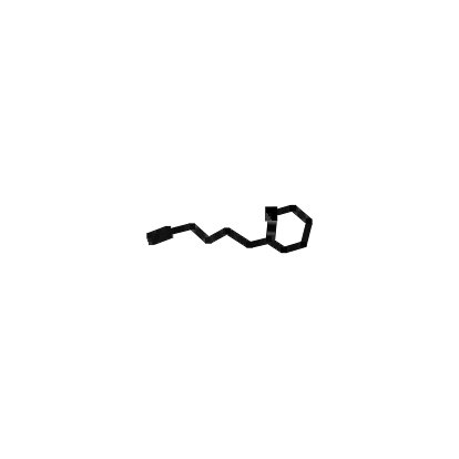 C#CCCCCC1=NCCCC1